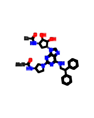 CCC(=O)N[C@H]1C[C@@H](n2cnc3c(NCC(c4ccccc4)c4ccccc4)nc(N4CC[C@@H](NC(=O)NC)C4)nc32)[C@H](O)[C@@H]1O